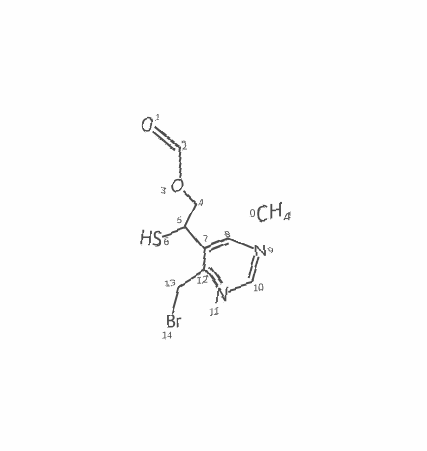 C.O=COCC(S)c1cncnc1CBr